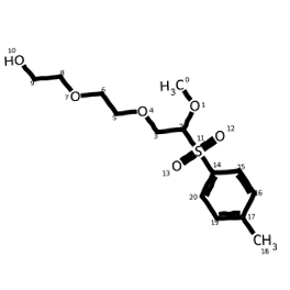 COC(COCCOCCO)S(=O)(=O)c1ccc(C)cc1